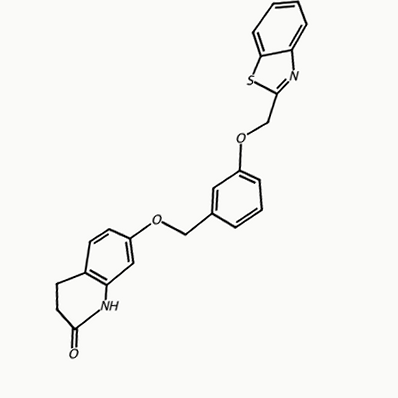 O=C1CCc2ccc(OCc3cccc(OCc4nc5ccccc5s4)c3)cc2N1